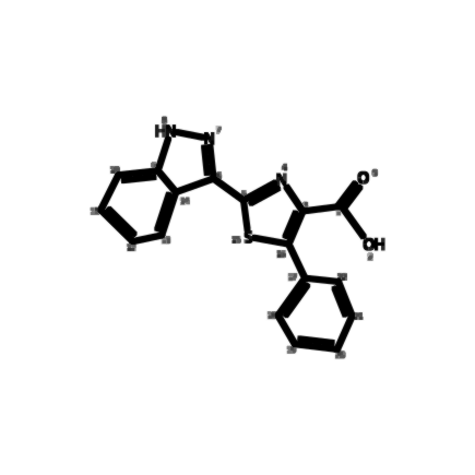 O=C(O)c1nc(-c2n[nH]c3ccccc23)sc1-c1ccccc1